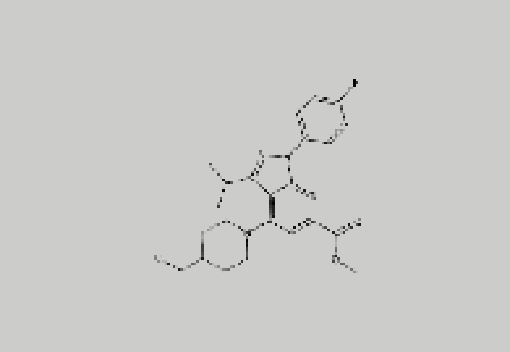 COC(=O)c1cc(N2CCC(CO)CC2)c2c(C(C)C)nn(-c3ccc(F)cc3)c2n1